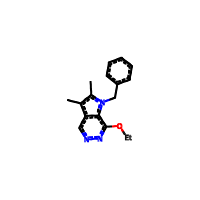 CCOc1nncc2c(C)c(C)n(Cc3ccccc3)c12